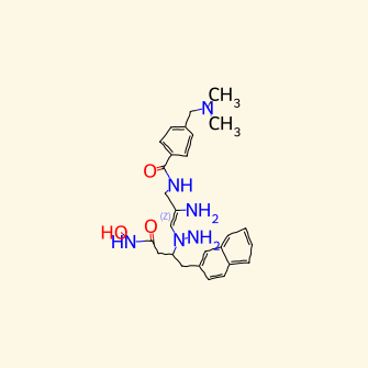 CN(C)Cc1ccc(C(=O)NC/C(N)=C/N(N)C(CC(=O)NO)Cc2ccc3ccccc3c2)cc1